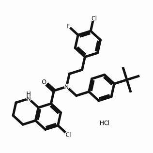 CC(C)(C)c1ccc(CN(CCc2ccc(Cl)c(F)c2)C(=O)c2cc(Cl)cc3c2NCCC3)cc1.Cl